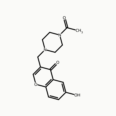 CC(=O)N1CCN(Cc2coc3ccc(O)cc3c2=O)CC1